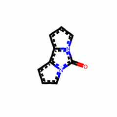 O=c1n2cccc2c2cccn12